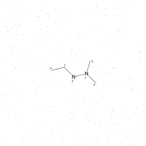 CC[N]N(C)C